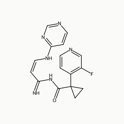 N=C(/C=C\Nc1ccncn1)NC(=O)C1(c2ccncc2F)CC1